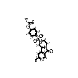 Cc1cc2c(cn1)C(=O)N1CCN(S(=O)(=O)c3ccc(OC(F)F)cc3)CC21